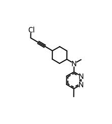 Cc1ccc(N(C)C2CCC(C#CCCl)CC2)nn1